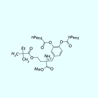 CCCCCC(=O)Oc1ccc(C[C@](N)(CCOC(=O)C(C)(C)CC)C(=O)OC)cc1OC(=O)CCCCC